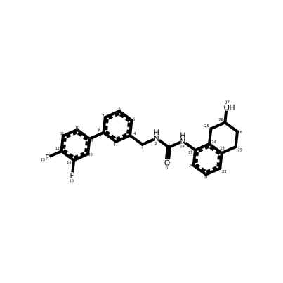 O=C(NCc1cccc(-c2ccc(F)c(F)c2)c1)Nc1cccc2c1CC(O)CC2